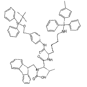 Cc1ccc(C(NCCCCC(NC(=O)C(C(C)C)N(CC2c3ccccc3-c3ccccc32)C(=O)O)C(=O)Nc2ccc(CO[Si](c3ccccc3)(c3ccccc3)C(C)(C)C)cc2)(c2ccccc2)c2ccccc2)cc1